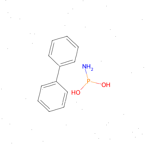 NP(O)O.c1ccc(-c2ccccc2)cc1